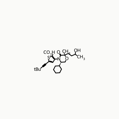 CC(O)CC[C@]1(C)OC[C@@H](C2CCCCC2)N(c2cc(C#CC(C)(C)C)sc2C(=O)O)C1=O